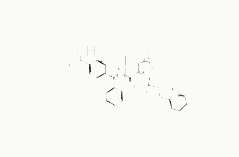 CC(C)c1ccc([C@@H](NC(=O)[C@@H]2C[C@@H](F)CN2C(=O)CCc2ccccn2)c2ccccc2)cc1